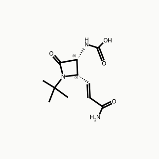 CC(C)(C)N1C(=O)[C@H](NC(=O)O)[C@@H]1C=CC(N)=O